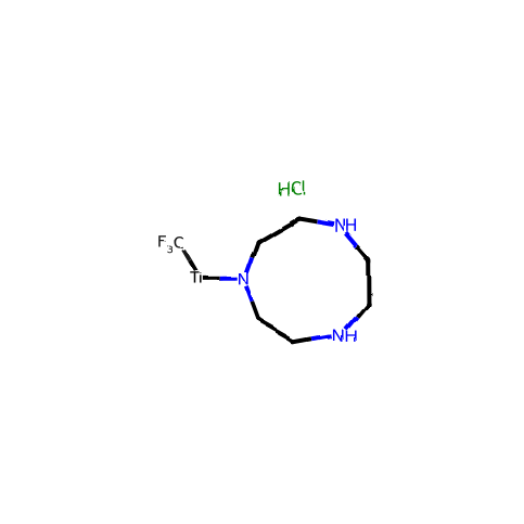 Cl.F[C](F)(F)[Ti][N]1CCNCCNCC1